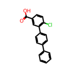 O=C(O)c1ccc(Cl)c(-c2ccc(-c3ccccc3)cc2)c1